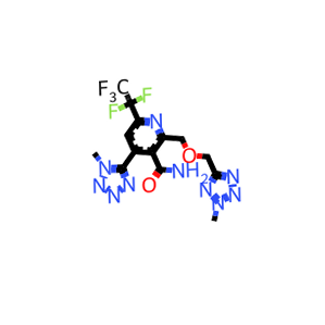 Cn1nnc(COCc2nc(C(F)(F)C(F)(F)F)cc(-c3nnnn3C)c2C(N)=O)n1